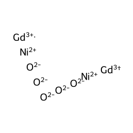 [Gd+3].[Gd+3].[Ni+2].[Ni+2].[O-2].[O-2].[O-2].[O-2].[O-2]